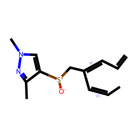 C=C/C=C(\C=C/C)C[S+]([O-])c1cn(C)nc1C